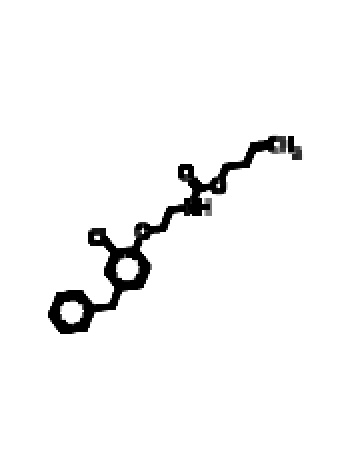 C=CCCOC(=O)NCCOc1ccc(Cc2ccccc2)cc1Cl